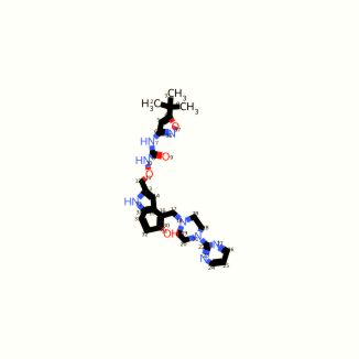 CC(C)(C)c1cc(NC(=O)NOCc2cc3c(CN4CCN(c5ncccn5)CC4)c(O)ccc3[nH]2)no1